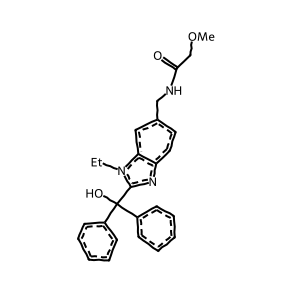 CCn1c(C(O)(c2ccccc2)c2ccccc2)nc2ccc(CNC(=O)COC)cc21